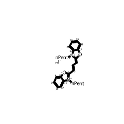 CCCCCN1C(=CC=Cc2oc3ccccc3[n+]2CCCCC)Oc2ccccc21.[I-]